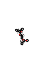 c1ccc(-c2cc(-c3ccc4c(c3)oc3cc(-c5nc(-c6ccccc6)nc(-c6ccccc6)n5)ccc34)c3oc4ccccc4c3c2)cc1